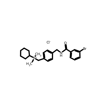 C[N+](C)(Cc1ccc(CNC(=O)c2cccc(Br)c2)cc1)C1CCCCC1.[Cl-]